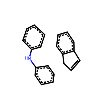 C1=Cc2ccccc2C1.c1ccc(Nc2ccccc2)cc1